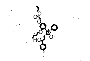 C=CCOC(=O)COc1ccc([C@@H]2[C@@H](CC[C@H](O)c3ccc(F)cc3)C(=O)N2c2ccccc2)c(OCCCC)c1